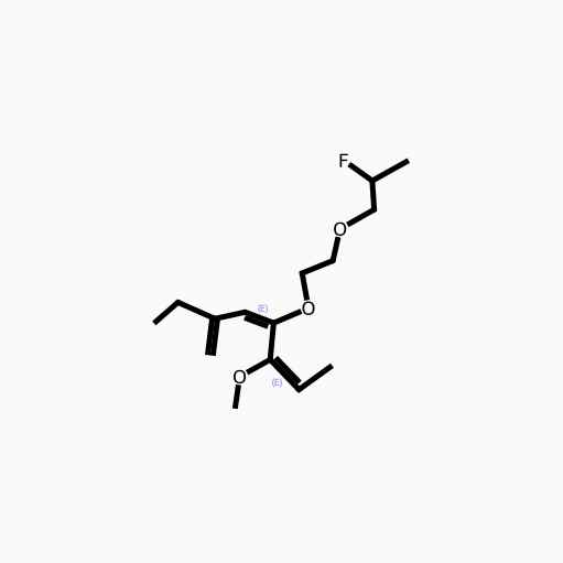 C=C(/C=C(OCCOCC(C)F)\C(=C/C)OC)CC